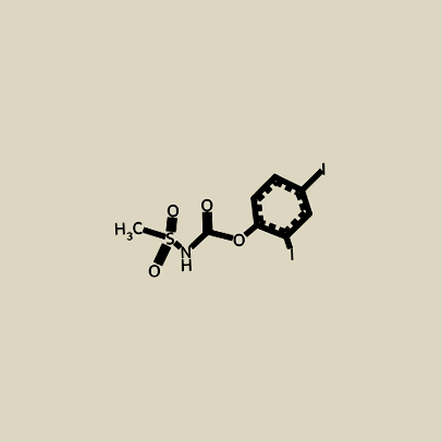 CS(=O)(=O)NC(=O)Oc1ccc(I)cc1I